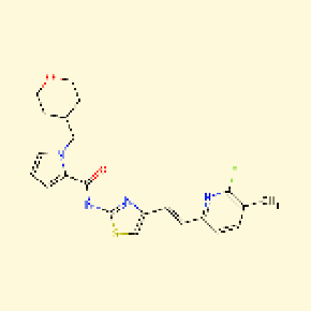 Cc1ccc(C=Cc2csc(NC(=O)c3cccn3CC3CCOCC3)n2)nc1F